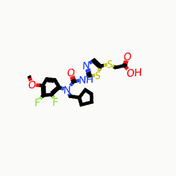 COc1ccc(N(CC2CCCC2)C(=O)Nc2ncc(SCC(=O)O)s2)c(F)c1F